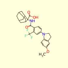 COc1ccc2c(c1)CCN2c1ccc(C(=O)NC2(C(=O)O)C3CC4CC(C3)CC2C4)c(C(F)(F)F)c1